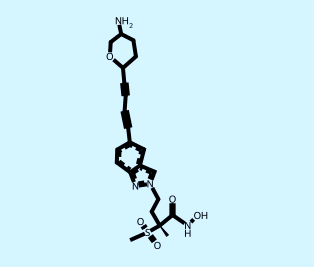 C[C@@](CCn1cc2cc(C#CC#CC3CCC(N)CO3)ccc2n1)(C(=O)NO)S(C)(=O)=O